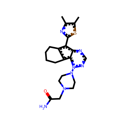 Cc1nc(-c2c3ncnn(N4CCN(CC(N)=O)CC4)c-3c3c2CCCC3)sc1C